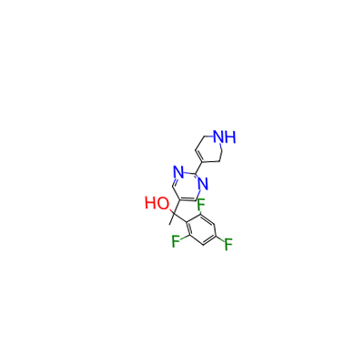 CC(O)(c1cnc(C2=CCNCC2)nc1)c1c(F)cc(F)cc1F